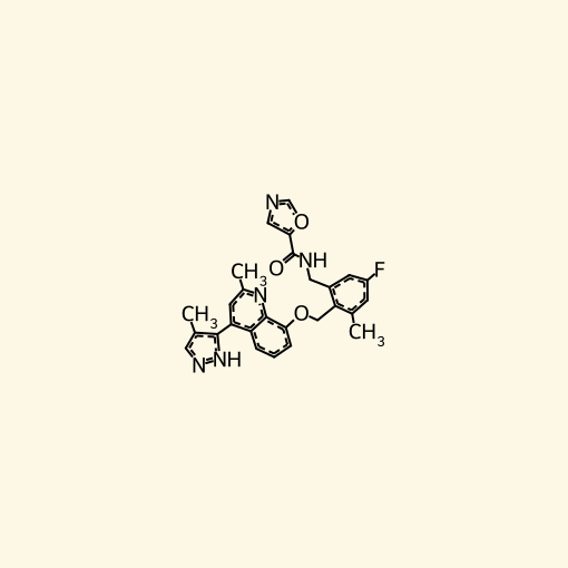 Cc1cc(-c2[nH]ncc2C)c2cccc(OCc3c(C)cc(F)cc3CNC(=O)c3cnco3)c2n1